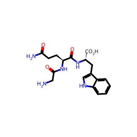 NCC(=O)N[C@@H](CCC(N)=O)C(=O)N[C@@H](Cc1c[nH]c2ccccc12)C(=O)O